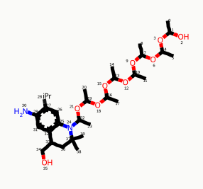 CC(O)OC(C)OC(C)OC(C)OC(C)OC(C)OC(C)OC(C)N1c2cc(C(C)C)c(N)cc2C(CO)CC1(C)C